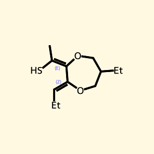 CC/C=C1\OCC(CC)CO\C1=C(/C)S